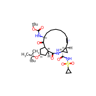 CC(C)(C)OC(=O)N[C@H]1CCCCC/C=C\[C@@H]2C[C@@]2(C(=O)NS(=O)(=O)C2CC2)NC(=O)[C@@H]2C[C@@H](O[Si](C)(C)C(C)(C)C)CC2C1=O